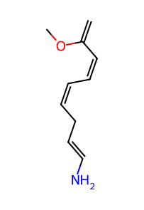 C=C(/C=C\C=C/CC=CN)OC